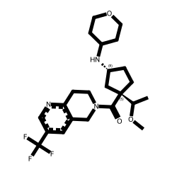 COC(C)[C@]1(C(=O)N2CCc3ncc(C(F)(F)F)cc3C2)CC[C@@H](NC2CCOCC2)C1